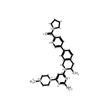 CC1Cc2ccc(-c3ccc(C(=O)N4CCCC4)nc3)cc2CN1c1cc(N2CCN(C)CC2)nc(N)n1